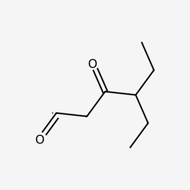 CCC(CC)C(=O)C[C]=O